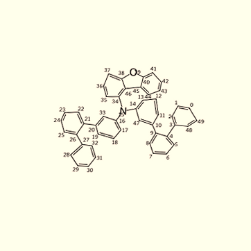 c1ccc(-c2ccccc2-c2cccc(N(c3cccc(-c4ccccc4-c4ccccc4)c3)c3cccc4oc5ccccc5c34)c2)cc1